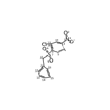 O=[N+]([O-])c1ccc(S(=O)(=O)Cc2ccccc2)c(Cl)c1